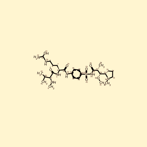 CN[C@H](C(=O)N[C@@H](CCCNC(N)O)C(=O)Nc1ccc(S(=O)(=O)NC(=O)[C@H](C)[C@@H](OC)[C@@H]2CCCN2C)cc1)C(C)C